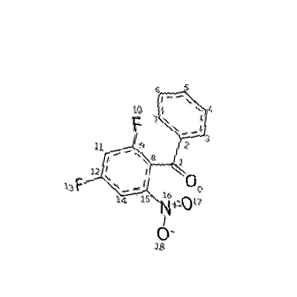 O=C(c1ccccc1)c1c(F)cc(F)cc1[N+](=O)[O-]